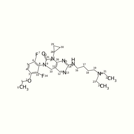 CCOc1ccc(F)c(N2Cc3cnc(NCCCCN(CC)CC)nc3N(C3CC3)C2=O)c1F